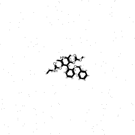 CCNC(=O)OC1=C(C)NC(C)=C(OC(=O)OC)C1c1ccccc1OCc1ccccc1